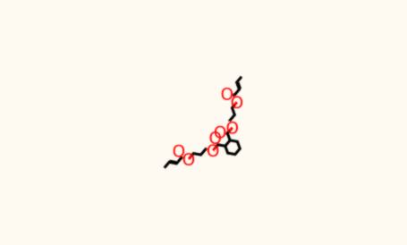 CC=CC(=O)OCCCOC(=O)C1CCCCC1C(=O)OCCCOC(=O)C=CC